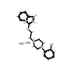 Cl.Cl.Clc1ccccc1N1CCN(CCSc2nnc3ccccn23)CC1